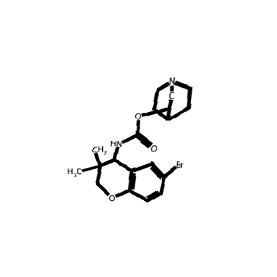 CC1(C)COc2ccc(Br)cc2C1NC(=O)OC1CN2CCC1CC2